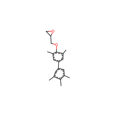 Cc1cc(-c2cc(C)c(OCC3CO3)c(C)c2)cc(C)c1C